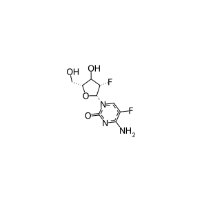 Nc1nc(=O)n([C@@H]2O[C@H](CO)C(O)[C@@H]2F)cc1F